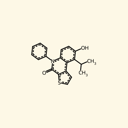 CC(C)c1c(O)ccc2c1c1ccsc1c(=O)n2-c1ccccc1